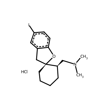 CN(C)C[C@H]1CCCC[C@]12Cc1cc(I)ccc1O2.Cl